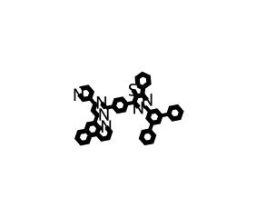 c1ccc(-c2cc(-c3ccccc3)cc(-c3nc(-c4ccc(-c5nc(-c6cccnc6)cc(-c6cc7ccccc7c7cccnc67)n5)cc4)c4sc5ccccc5c4n3)c2)cc1